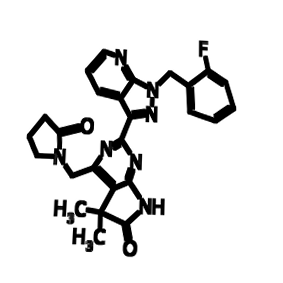 CC1(C)C(=O)Nc2nc(-c3nn(Cc4ccccc4F)c4ncccc34)nc(CN3CCCC3=O)c21